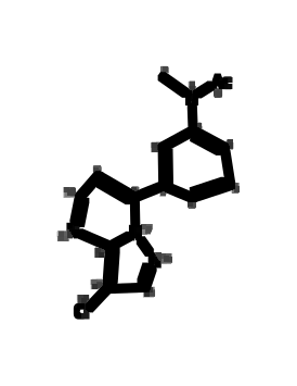 CC(=O)N(C)c1cccc(-c2ccnc3c(Cl)cnn23)c1